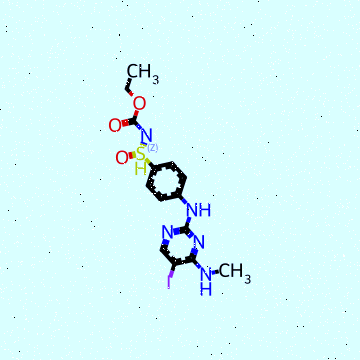 CCOC(=O)/N=[SH](=O)/c1ccc(Nc2ncc(I)c(NC)n2)cc1